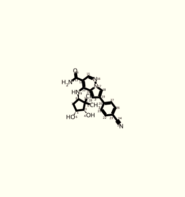 CC1(C)[C@H](O)[C@H](O)C[C@H]1Nc1c(C(N)=O)cnn2cc(-c3ccc(C#N)cc3)cc12